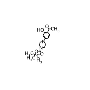 CC(=O)c1ccc(N2CCN(C(=O)OC(C)(C)C)CC2)cc1O